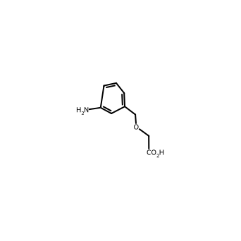 Nc1cccc(COCC(=O)O)c1